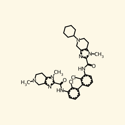 CN1CCc2c(nc(C(=O)Nc3cccc(-c4cccc(NC(=O)c5nc6c(n5C)CCN(C5CCCCC5)C6)c4Cl)c3Cl)n2C)C1